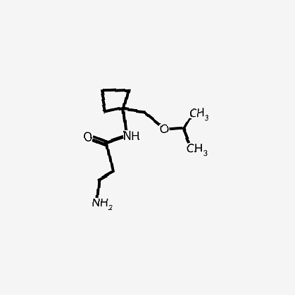 CC(C)OCC1(NC(=O)CCN)CCC1